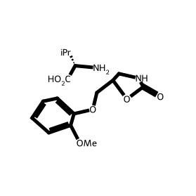 CC(C)[C@H](N)C(=O)O.COc1ccccc1OCC1CNC(=O)O1